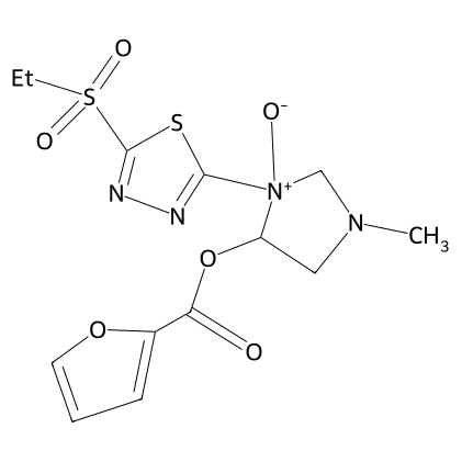 CCS(=O)(=O)c1nnc([N+]2([O-])CN(C)CC2OC(=O)c2ccco2)s1